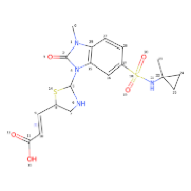 Cn1c(=O)n(C2NCC(/C=C/C(=O)O)S2)c2cc(S(=O)(=O)NC3(C)CC3)ccc21